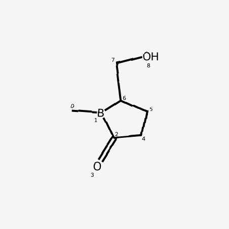 CB1C(=O)CCC1CO